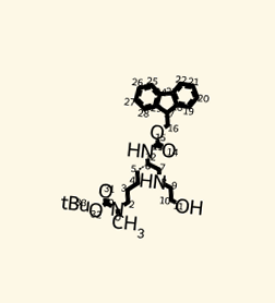 CN(CCCC[C@@H](CNCCO)NC(=O)OCC1c2ccccc2-c2ccccc21)C(=O)OC(C)(C)C